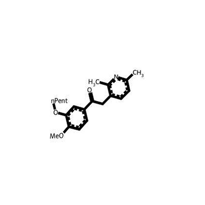 CCCCCOc1cc(C(=O)Cc2ccc(C)nc2C)ccc1OC